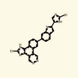 CCc1nc2c3cnncc3c3cc(-c4ccc5cc(-c6cnc(C(C)C)[nH]6)sc5c4)ccc3c2[nH]1